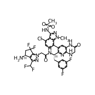 Cn1nc(NS(C)(=O)=O)c2c(Cl)ccc(-c3cc4c(nc3[C@H](Cc3cc(F)cc(F)c3)NC(=O)Cn3nc(C(F)F)c5c3C(F)(F)C[C@@H]5N)NCC(=O)N4)c21